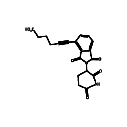 O=C(O)CCCC#Cc1cccc2c1C(=O)N(C1CCC(=O)NC1=O)C2=O